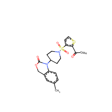 COC(=O)c1sccc1S(=O)(=O)N1CCC(N2C(=O)OCc3cc(C)ccc32)CC1